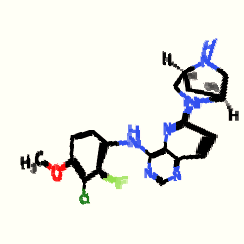 COc1ccc(Nc2ncnc3ccc(N4C[C@@H]5C[C@H]4CN5)nc23)c(F)c1Cl